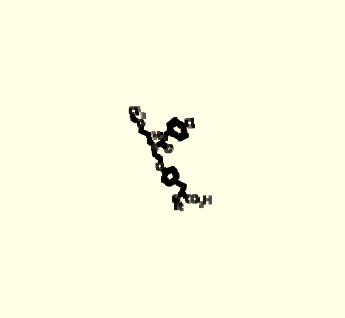 CCOC(Cc1ccc(OCCN(CCCOCC(F)(F)F)C(=O)Nc2ccc(Cl)cc2)cc1)C(=O)O